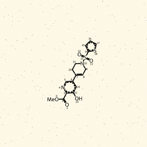 COC(=O)c1ncc(C2=CCN(S(=O)(=O)c3cccs3)CC2)cc1O